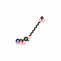 Cc1cc(-c2cc3cccnc3oc2=O)ccc1OCCCCCCCCCCCCOC(=O)C(C)(C)C